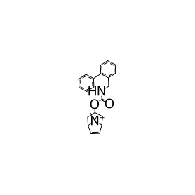 C[N+]1(C)C2C=CC1CC(OC(=O)NCc1ccccc1-c1ccccc1)C2